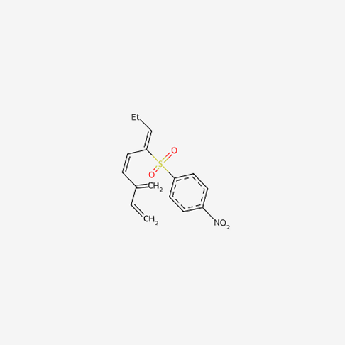 C=CC(=C)/C=C\C(=C/CC)S(=O)(=O)c1ccc([N+](=O)[O-])cc1